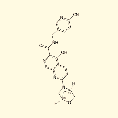 N#Cc1ccc(CNC(=O)c2ncc3nc(N4C[C@H]5C[C@@H]4CO5)ccc3c2O)cn1